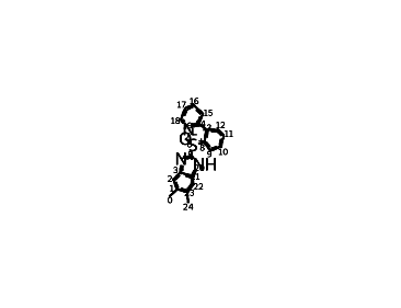 Cc1cc2nc([S+]([O-])c3ccccc3-c3ccccn3)[nH]c2cc1C